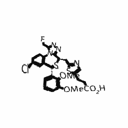 COc1cccc([C@H]2S[C@H](Cc3ncc(CCC(=O)O)s3)c3nnc(CF)n3-c3ccc(Cl)cc32)c1OC